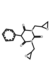 O=C1C(c2ccccc2)C(=O)N(CC2CO2)C(=O)N1CC1CO1